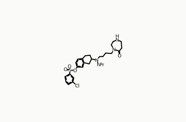 CCCN(CCCCN1CCNCCC1=O)C1CCc2ccc(OS(=O)(=O)c3cccc(Cl)c3)cc2C1